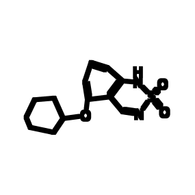 O=S1(=O)N=Cc2c(cccc2OC2CCCCC2)N1